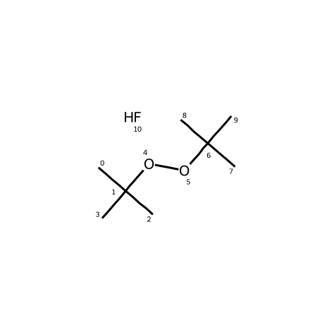 CC(C)(C)OOC(C)(C)C.F